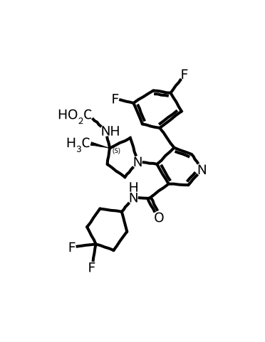 C[C@]1(NC(=O)O)CCN(c2c(C(=O)NC3CCC(F)(F)CC3)cncc2-c2cc(F)cc(F)c2)C1